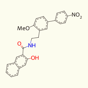 COc1ccc(-c2ccc([N+](=O)[O-])cc2)cc1CCNC(=O)c1cc2ccccc2cc1O